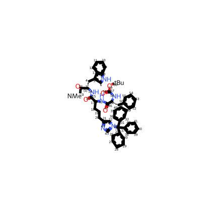 CNC(=O)[C@H](Cc1c[nH]c2ccccc12)NC(=O)C(CCCc1cn(C(c2ccccc2)(c2ccccc2)c2ccccc2)cn1)NC(=O)[C@@H](Cc1ccccc1)NC(=O)OC(C)(C)C